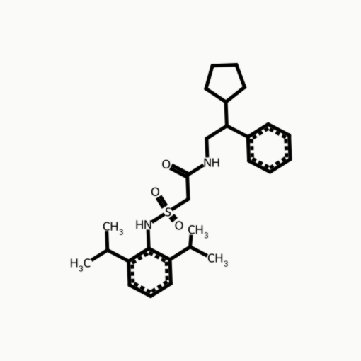 CC(C)c1cccc(C(C)C)c1NS(=O)(=O)CC(=O)NCC(c1ccccc1)C1CCCC1